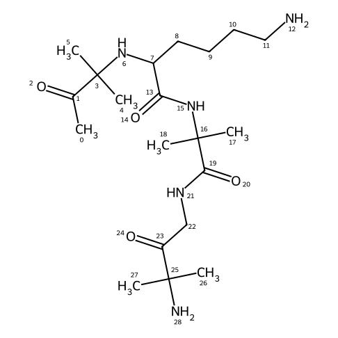 CC(=O)C(C)(C)NC(CCCCN)C(=O)NC(C)(C)C(=O)NCC(=O)C(C)(C)N